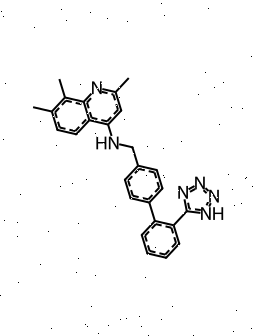 Cc1cc(NCc2ccc(-c3ccccc3-c3nnn[nH]3)cc2)c2ccc(C)c(C)c2n1